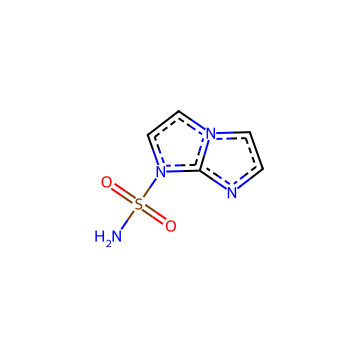 NS(=O)(=O)n1ccn2ccnc12